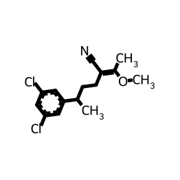 CO/C(C)=C(/C#N)CCC(C)c1cc(Cl)cc(Cl)c1